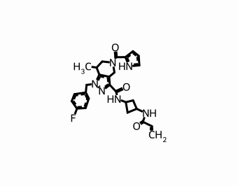 C=CC(=O)NC1CC(NC(=O)c2nn(Cc3ccc(F)cc3)c3c2CN(C(=O)c2ccc[nH]2)CC3C)C1